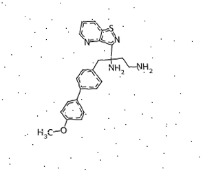 COc1ccc(-c2ccc(CC(N)(CCN)c3nsc4cccnc34)cc2)cc1